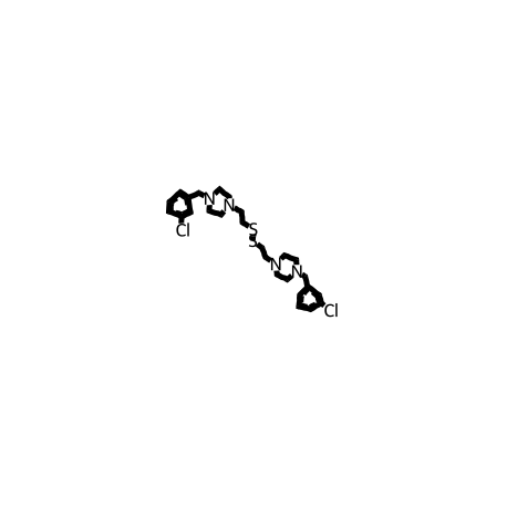 Clc1cccc(CN2CCN(CCSSCCN3CCN(Cc4cccc(Cl)c4)CC3)CC2)c1